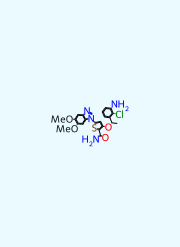 COc1cc2ncn(-c3cc(OC(C)c4cccc(N)c4Cl)c(C(N)=O)s3)c2cc1OC